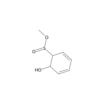 COS(=O)C1C=CC=CC1O